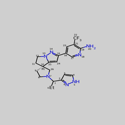 CCC(c1cc[nH]n1)N1CC[C@@]2(CCn3nc(-c4cnc(N)c(C(F)(F)F)c4)cc32)C1